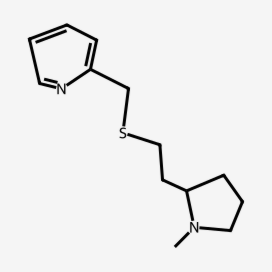 CN1CCCC1CCSCc1ccccn1